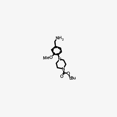 COc1cc(CN)ccc1N1CCN(C(=O)OC(C)(C)C)CC1